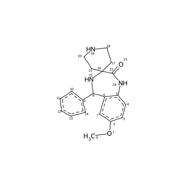 COc1ccc2c(c1)C(c1ccccc1)NC1(CCNCC1)C(=O)N2